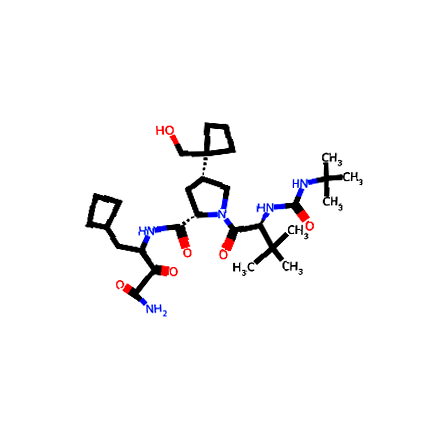 CC(C)(C)NC(=O)N[C@H](C(=O)N1C[C@@H](C2(CO)CCC2)C[C@H]1C(=O)NC(CC1CCC1)C(=O)C(N)=O)C(C)(C)C